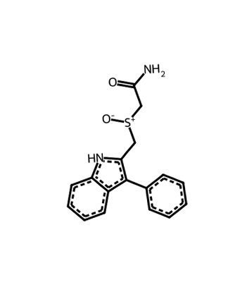 NC(=O)C[S+]([O-])Cc1[nH]c2ccccc2c1-c1ccccc1